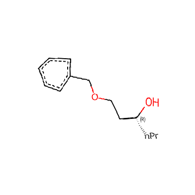 CCC[C@@H](O)CCOCc1ccccc1